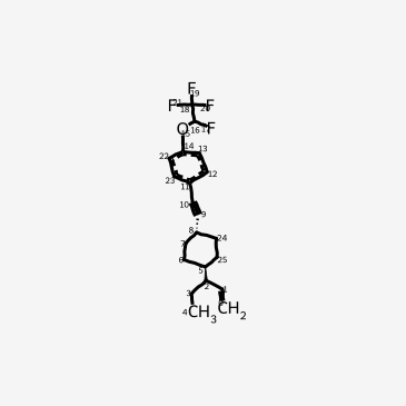 C=CC(CC)[C@H]1CC[C@H](C#Cc2ccc(OC(F)C(F)(F)F)cc2)CC1